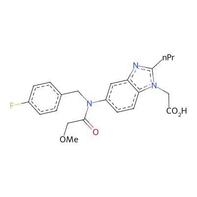 CCCc1nc2cc(N(Cc3ccc(F)cc3)C(=O)COC)ccc2n1CC(=O)O